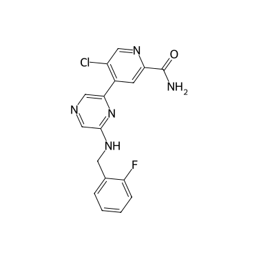 NC(=O)c1cc(-c2cncc(NCc3ccccc3F)n2)c(Cl)cn1